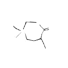 CC1C[Si](C)(C)COC1=O